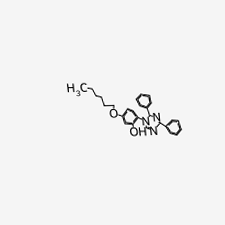 CCCCCCOc1ccc(N2C=NC(c3ccccc3)=NC2c2ccccc2)c(O)c1